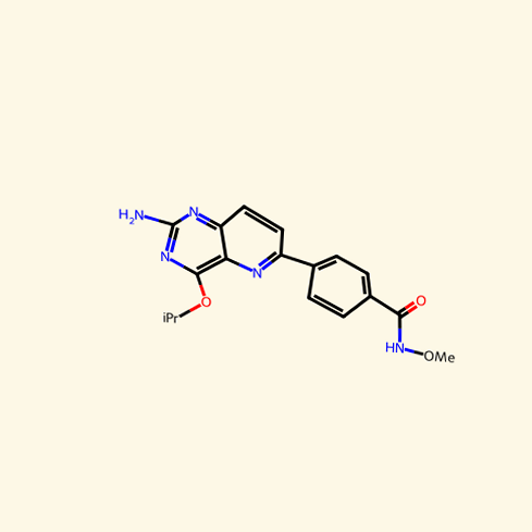 CONC(=O)c1ccc(-c2ccc3nc(N)nc(OC(C)C)c3n2)cc1